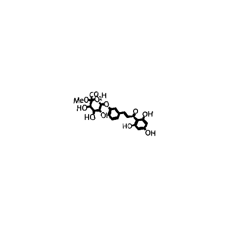 COC1(C(=O)O)OC(Oc2cccc(C=CC(=O)c3c(O)cc(O)cc3O)c2)C(O)C(O)C1O